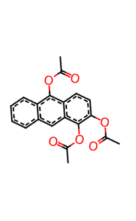 CC(=O)Oc1ccc2c(OC(C)=O)c3ccccc3cc2c1OC(C)=O